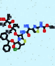 CC(C)(C)OC(=O)Nc1nc(C(=N)C(=O)N[C@@H]2C(OCC(C)(C)OC(=O)C(C)(C)O)N3C(C(=O)OC(c4ccccc4)c4ccccc4)=C(CCl)CSC23)cs1